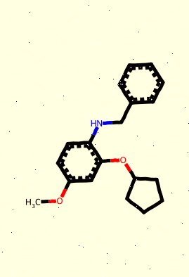 COc1ccc(NCc2ccccc2)c(OC2CCCC2)c1